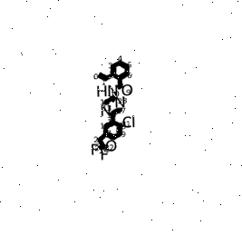 C=Cc1ccccc1C(=O)Nc1cnc(-c2cc3c(cc2Cl)OC(F)(F)C3)cn1